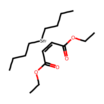 CCC[CH2][Sn][CH2]CCC.CCOC(=O)/C=C\C(=O)OCC